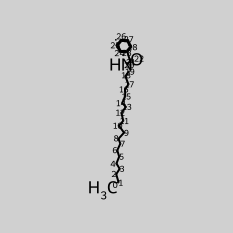 CCCCCCCCCCCCCCCCCCCCNC(=O)c1cc[c]cc1